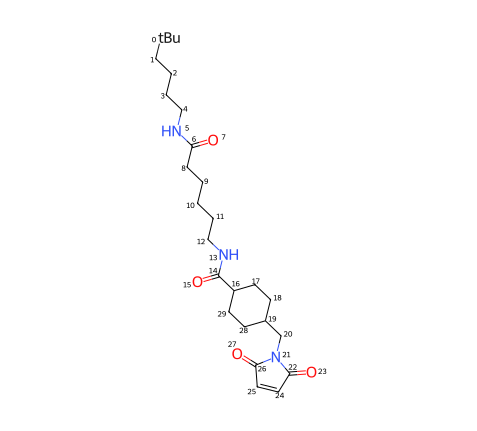 CC(C)(C)CCCCNC(=O)CCCCCNC(=O)C1CCC(CN2C(=O)C=CC2=O)CC1